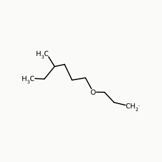 [CH2]CCOCCCC(C)CC